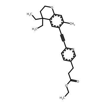 CCOC(=O)CCc1ccc(C#Cc2cc3c(cc2C)OCCC3(CC)CC)nc1